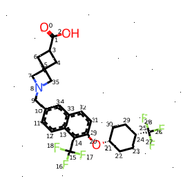 O=C(O)C1CC2(C1)CN(Cc1ccc3c(C(F)(F)F)c(O[C@H]4CC[C@@H](C(F)(F)F)CC4)ccc3c1)C2